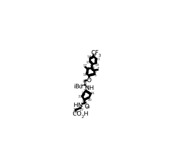 CC[C@H](C)[C@@H](COc1cc(C)c(-c2ccc(C(F)(F)F)cc2)c(C)c1)Nc1ccc(C(=O)NCCC(=O)O)cc1